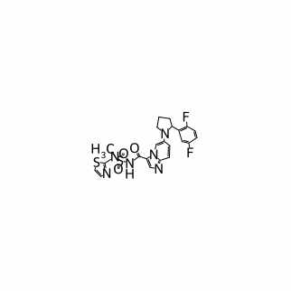 CN(c1nccs1)S(=O)(=O)NC(=O)c1cnc2ccc(N3CCCC3c3cc(F)ccc3F)cn12